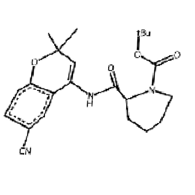 CC(C)(C)OC(=O)N1CCCCC1C(=O)NC1=CC(C)(C)Oc2ccc(C#N)cc21